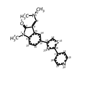 CN(C)C=C1C(=O)N(C)c2ccc(-c3csc(-c4ccncc4)n3)cc21